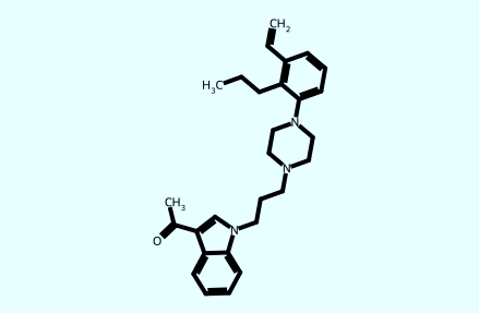 C=Cc1cccc(N2CCN(CCCn3cc(C(C)=O)c4ccccc43)CC2)c1CCC